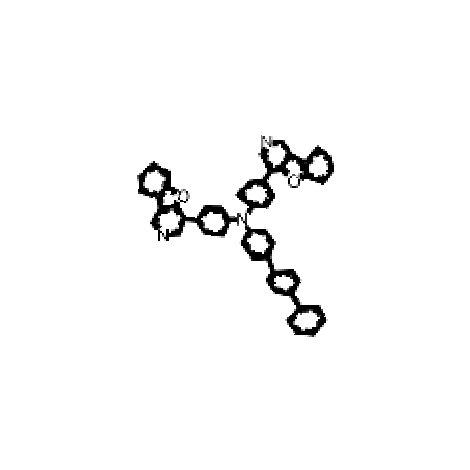 c1ccc(-c2ccc(-c3ccc(N(c4ccc(-c5cncc6c5oc5ccccc56)cc4)c4ccc(-c5cncc6c5oc5ccccc56)cc4)cc3)cc2)cc1